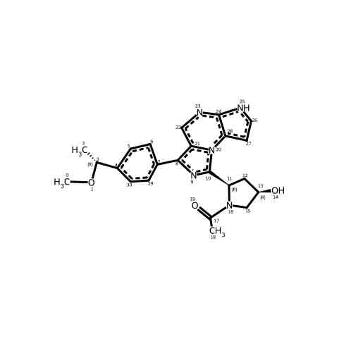 CO[C@H](C)c1ccc(-c2nc([C@H]3C[C@@H](O)CN3C(C)=O)n3c2cnc2[nH]ccc23)cc1